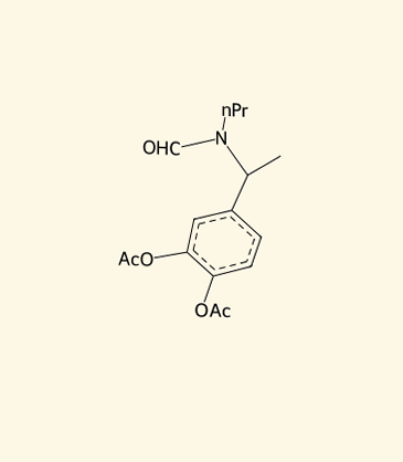 CCCN(C=O)C(C)c1ccc(OC(C)=O)c(OC(C)=O)c1